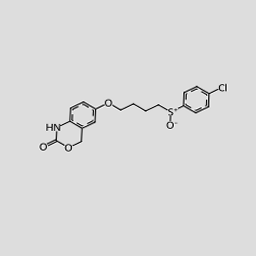 O=C1Nc2ccc(OCCCC[S+]([O-])c3ccc(Cl)cc3)cc2CO1